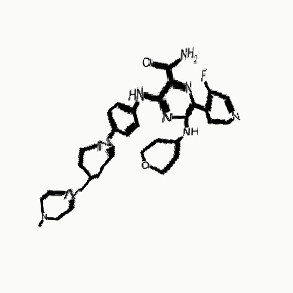 CN1CCN(C2CCN(c3ccc(Nc4nc(NC5CCOCC5)c(-c5ccncc5F)nc4C(N)=O)cc3)CC2)CC1